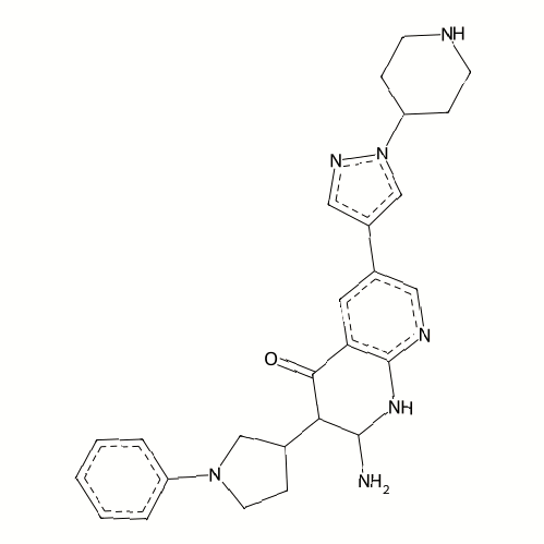 NC1Nc2ncc(-c3cnn(C4CCNCC4)c3)cc2C(=O)C1C1CCN(c2ccccc2)C1